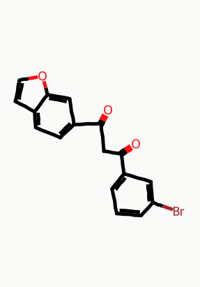 O=C(CC(=O)c1ccc2ccoc2c1)c1cccc(Br)c1